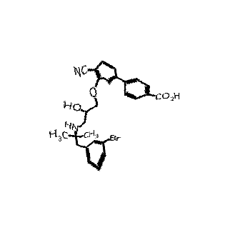 CC(C)(Cc1cccc(Br)c1)NC[C@@H](O)COc1cc(-c2ccc(C(=O)O)cc2)ccc1C#N